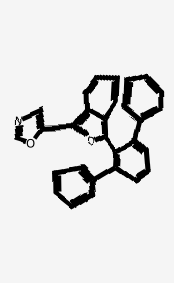 c1ccc(-c2cccc(-c3ccccc3)c2-c2oc(-c3cnco3)c3ccccc23)cc1